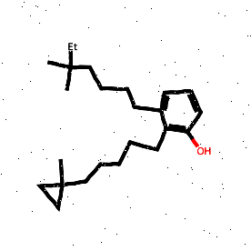 CCC(C)(C)CCCCc1cccc(O)c1CCCCCC1(C)CC1